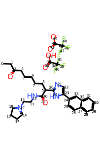 CCC(=O)CCCCCC(C(=O)NCC[N+]1=CCCC1)c1ncc(-c2ccc3ccccc3c2)[nH]1.O=C(O)C(F)(F)F.O=C([O-])C(F)(F)F